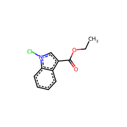 CCOC(=O)c1cn(Cl)c2ccccc12